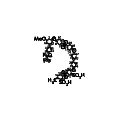 COc1cc(Oc2ccc(S(=O)(=O)c3ccc(Oc4ccc(-c5ccc(Oc6ccc(S(=O)(=O)c7ccc(C)c(S(=O)(=O)O)c7)cc6S(=O)(=O)O)cc5)cc4)cc3)cc2)cc(-c2ccc(OC(F)=C(F)F)cc2)c1